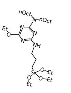 CCCCCCCCN(CCCCCCCC)c1nc(NCCC[Si](OCC)(OCC)OCC)nc(OCC)n1